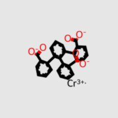 O=C([O-])c1ccccc1-c1cccc(-c2ccccc2C(=O)[O-])c1-c1ccccc1C(=O)[O-].[Cr+3]